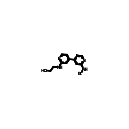 CCNc1cc(-c2ccnc(NCCO)c2)ncn1